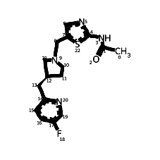 CC(=O)Nc1ncc(CN2CC[C@@H](Cc3ccc(F)cn3)C2)s1